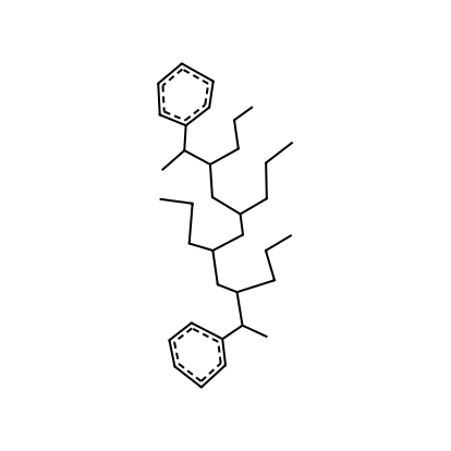 CCCC(CC(CCC)CC(CCC)C(C)c1ccccc1)CC(CCC)C(C)c1ccccc1